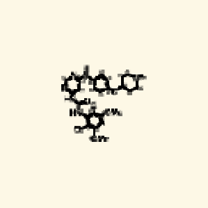 COc1cc(OC)c(Cl)c(NC(=O)Nc2cc(Nc3ccc(OC4CCN(C)CC4)cc3)ncn2)c1Cl